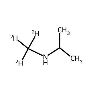 [2H]C([2H])([2H])NC(C)C